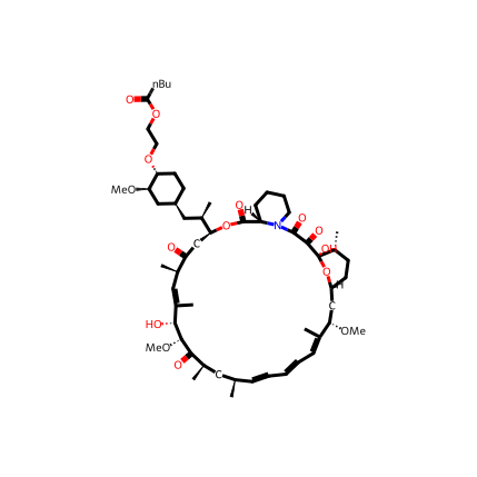 CCCCC(=O)OCCO[C@@H]1CC[C@@H](C[C@@H](C)[C@@H]2CC(=O)[C@H](C)/C=C(\C)[C@@H](O)[C@@H](OC)C(=O)[C@H](C)C[C@H](C)/C=C/C=C/C=C(\C)[C@@H](OC)C[C@@H]3CC[C@@H](C)[C@@](O)(O3)C(=O)C(=O)N3CCCC[C@H]3C(=O)O2)C[C@H]1OC